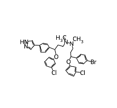 CN(CCC(Oc1cccc(Cl)c1)c1ccc(Br)cc1)N(C)CCC(Oc1cccc(Cl)c1)c1ccc(-c2cn[nH]c2)cc1